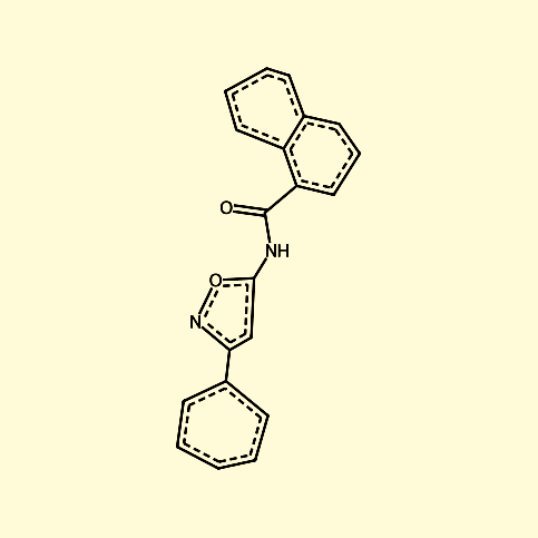 O=C(Nc1cc(-c2ccccc2)no1)c1cccc2ccccc12